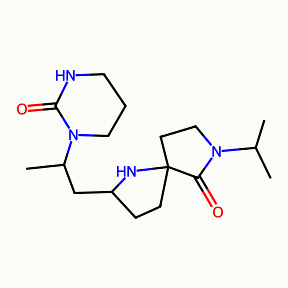 CC(C)N1CCC2(CCC(CC(C)N3CCCNC3=O)N2)C1=O